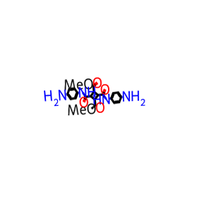 COC(=O)C1C(C(=O)Nc2ccc(N)cc2)C(C(=O)OC)C1C(=O)Nc1ccc(N)cc1